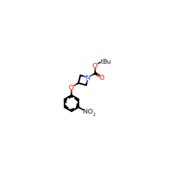 CC(C)(C)OC(=O)N1CC(Oc2cccc([N+](=O)[O-])c2)C1